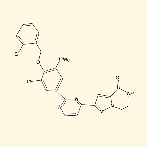 COc1cc(-c2nccc(-c3cc4n(n3)CCNC4=O)n2)cc(Cl)c1OCc1ccccc1Cl